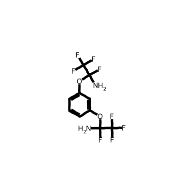 NC(F)(Oc1cccc(OC(N)(F)C(F)(F)F)c1)C(F)(F)F